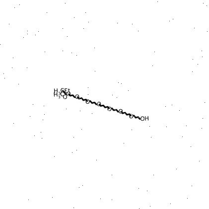 CCC(C)(C)C(=O)OCCCOCCCCOCCCCOCCCCOCCCCOCCCCOCCCCO